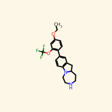 CCOc1ccc(-c2ccc3c(c2)CC2CCNCCN32)c(OC(F)(F)F)c1